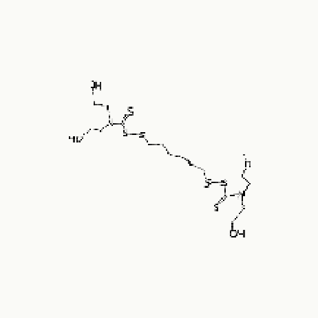 COCCN(CCO)C(=S)SSCCCCCCSSC(=S)N(CCO)CCO